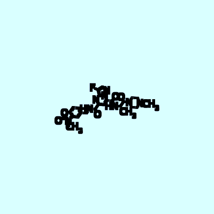 C[C@H](NC(=O)c1cc(C(=O)NCc2ccc3oc(=O)n(C)c3c2)nc2c(F)cnn12)C(=O)N1CCN(C)CC1